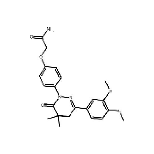 COc1ccc(C2=NN(c3ccc(OCC(N)=O)cc3)C(=O)C(C)(C)C2)cc1OC